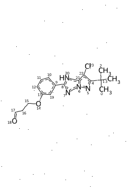 CC(C)(C)c1nn2nc(-c3cccc(OCCC=O)c3)[nH]c2c1Cl